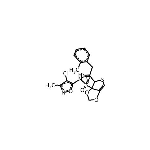 Cc1ccccc1CC(=O)C1SC=C2OCOC21S(=O)(=O)Nc1onc(C)c1Cl